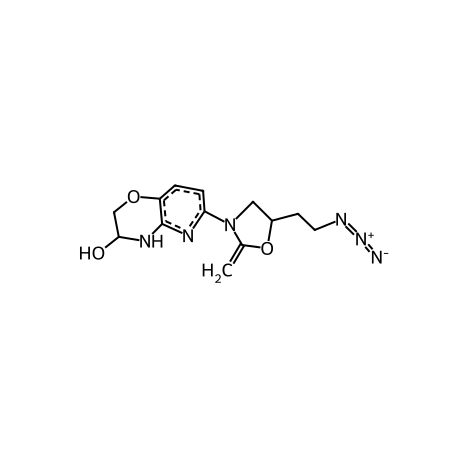 C=C1OC(CCN=[N+]=[N-])CN1c1ccc2c(n1)NC(O)CO2